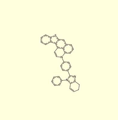 C1=Cc2c(nc(-c3ccc(N4C=Cc5c6c4cccc6cc4sc6ccccc6c54)cc3)n2-c2ccccc2)CC1